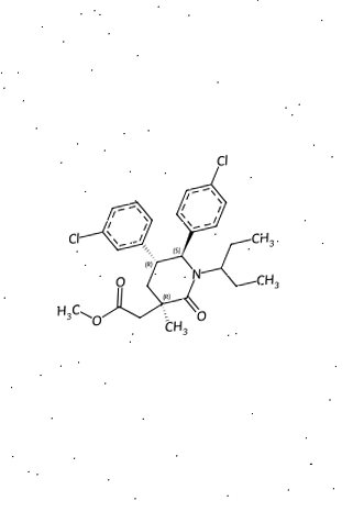 CCC(CC)N1C(=O)[C@@](C)(CC(=O)OC)C[C@H](c2cccc(Cl)c2)[C@H]1c1ccc(Cl)cc1